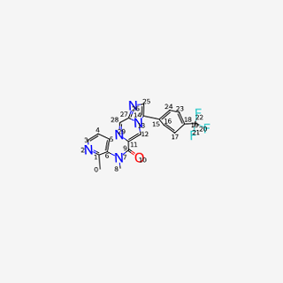 Cc1ncccc1N(C)C(=O)c1cn2c(-c3ccc(C(F)(F)F)cc3)cnc2cn1